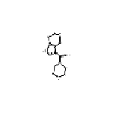 O=C(c1[c]sc2c1CCCC2)N1CCNCC1